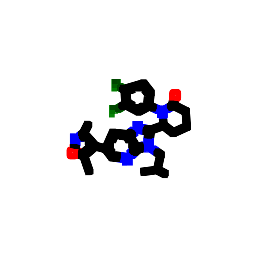 Cc1noc(C)c1-c1cnc2c(c1)nc(C1CCCC(=O)N1c1ccc(F)c(F)c1)n2CC(C)C